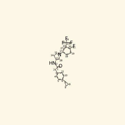 O=C(Cc1ccc(C2CC2)cc1)N[C@@H]1CCN(c2ccc(F)c(C(F)(F)F)c2)C1